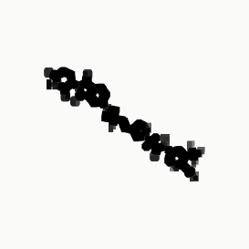 CC(C)(C(=O)Nc1cnc(C#N)c(C(F)(F)F)c1)n1cc(/C=C/C2(F)CN(c3ccc4c(c3)C(=O)N(C3CCC(=O)NC3=O)C4=O)C2)cn1